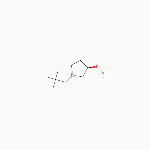 CO[C@@H]1CCN(CC(C)(C)C)C1